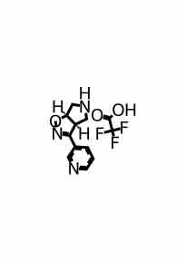 O=C(O)C(F)(F)F.c1cncc(C2=NO[C@H]3CNC[C@@H]23)c1